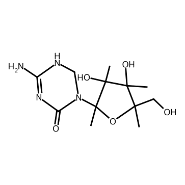 CC1(CO)OC(C)(N2CNC(N)=NC2=O)C(C)(O)C1(C)O